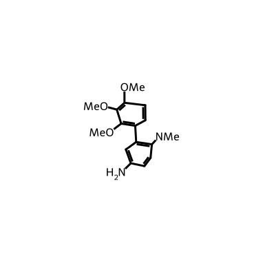 CNc1ccc(N)cc1-c1ccc(OC)c(OC)c1OC